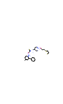 Cc1ccc(NC(=O)c2csc(C3CCN(C(=O)CCc4cccs4)CC3)n2)c(-c2ccccc2)c1